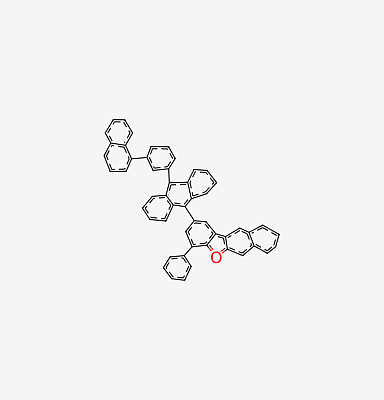 c1ccc(-c2cc(-c3c4ccccc4c(-c4cccc(-c5cccc6ccccc56)c4)c4ccccc34)cc3c2oc2cc4ccccc4cc23)cc1